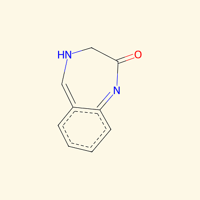 O=C1CNC=c2ccccc2=N1